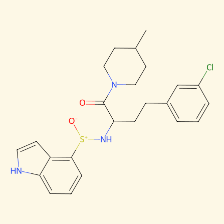 CC1CCN(C(=O)C(CCc2cccc(Cl)c2)N[S+]([O-])c2cccc3[nH]ccc23)CC1